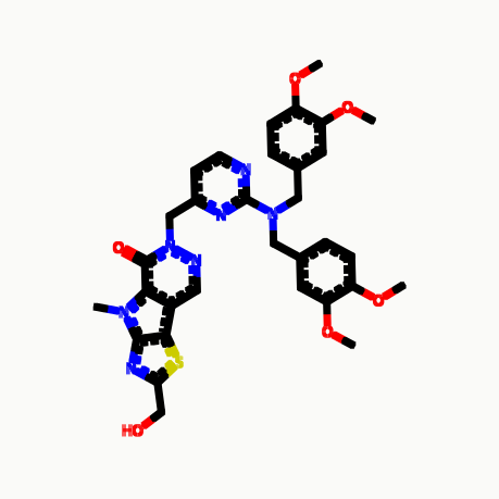 COc1ccc(CN(Cc2ccc(OC)c(OC)c2)c2nccc(Cn3ncc4c5sc(CO)nc5n(C)c4c3=O)n2)cc1OC